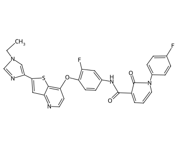 CCn1cnc(-c2cc3nccc(Oc4ccc(NC(=O)c5cccn(-c6ccc(F)cc6)c5=O)cc4F)c3s2)c1